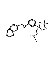 CC(=O)CCC1(c2cccc(OCc3ccc4ccccc4c3)c2)COC(C)(C)O1